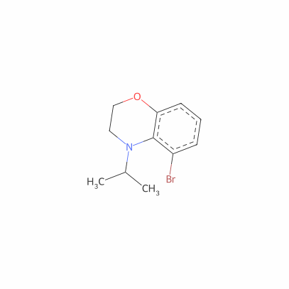 CC(C)N1CCOc2cccc(Br)c21